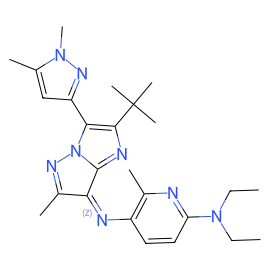 CCN(CC)c1ccc(/N=C2/C(C)=Nn3c2nc(C(C)(C)C)c3-c2cc(C)n(C)n2)c(C)n1